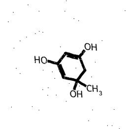 CC1(O)C=C(O)C=C(O)C1